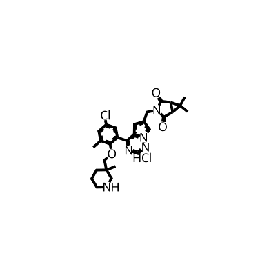 Cc1cc(Cl)cc(-c2ncnn3cc(CN4C(=O)C5C(C4=O)C5(C)C)cc23)c1OCC1(C)CCCNC1.Cl